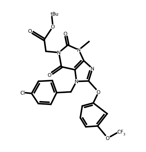 Cn1c(=O)n(CC(=O)OC(C)(C)C)c(=O)c2c1nc(Oc1cccc(OC(F)(F)F)c1)n2Cc1ccc(Cl)cc1